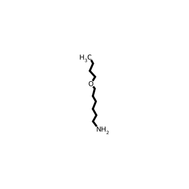 CCCCOCCCCCCN